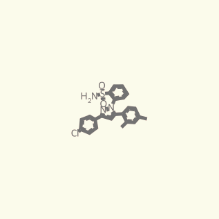 Cc1ccc(-c2cc(-c3ccc(Cl)cc3)nn2-c2ccccc2S(N)(=O)=O)c(C)c1